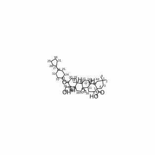 CC1(C)CC[C@]2(C(=O)O)CC[C@]3(C)C(=CC[C@@H]4[C@@]5(C)CC[C@H](OC6CCC(C7CCCC7)CC6)[C@@](C)(CO)[C@@H]5CC[C@]43C)[C@@H]2C1